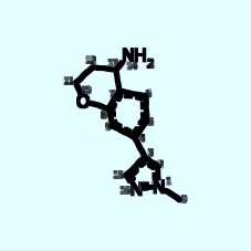 Cn1cc(-c2ccc3c(c2)OCCC3N)cn1